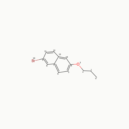 CCCOc1ccc2cc(Br)ccc2c1